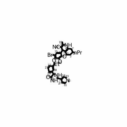 CCCC1CC(=O)C2=C(C1)NC(C)=C(C#N)C2c1cc(Br)c(OCc2cccc(C(NCc3ccncc3)C(N)=O)c2)c(OCC)c1